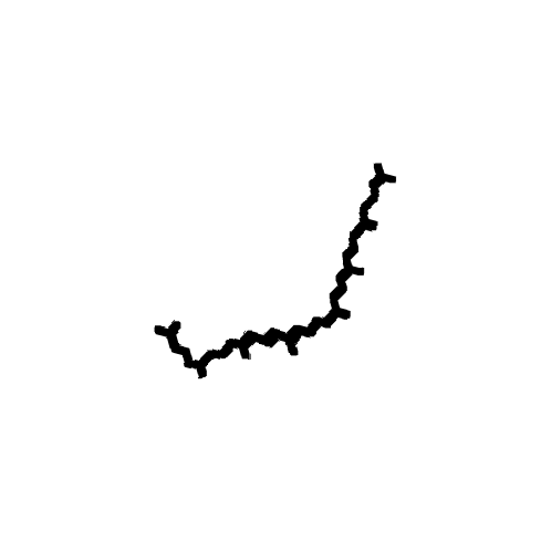 CC(C)=CCC/C(C)=C/C=C/C(C)=C/C=C/C(C)=C\C=C\C=C(C)\C=C\C=C(C)\C=C\C=C(/C)CCC=C(C)C